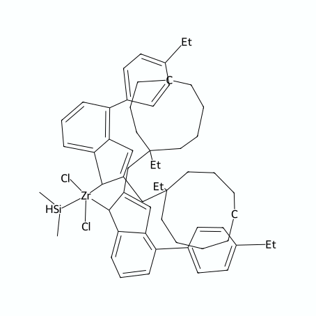 CCc1ccc(-c2cccc3c2C=C(CC2(CC)CCCCCCCC2)[CH]3[Zr]([Cl])([Cl])([CH]2C(CC3(CC)CCCCCCCC3)=Cc3c(-c4ccc(CC)cc4)cccc32)[SiH](C)C)cc1